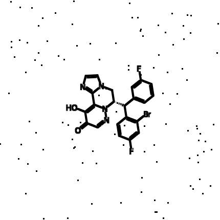 O=c1cnn2c(c1O)-c1nccn1C[C@@H]2C(c1cccc(F)c1)c1ccc(F)cc1Br